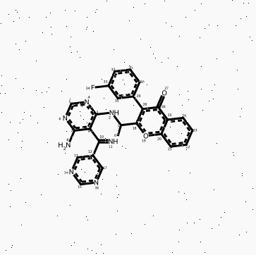 CC(Nc1ncnc(N)c1C(=N)c1cncnc1)c1oc2ccccc2c(=O)c1-c1cccc(F)c1